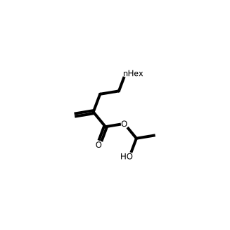 C=C(CCCCCCCC)C(=O)OC(C)O